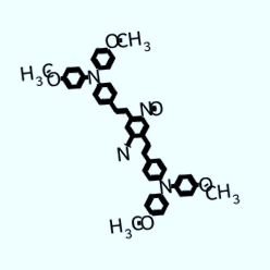 COc1ccc(N(c2ccc(C=Cc3cc(N=O)c(C=Cc4ccc(N(c5ccc(OC)cc5)c5ccc(OC)cc5)cc4)cc3C#N)cc2)c2ccc(OC)cc2)cc1